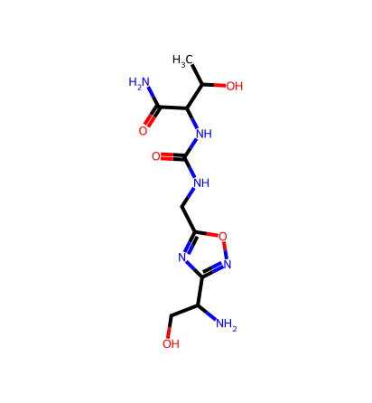 CC(O)C(NC(=O)NCc1nc(C(N)CO)no1)C(N)=O